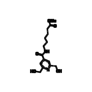 COC(=O)CCCCCNC(=O)c1cc(CO)nc(CO)c1